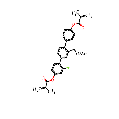 C=C(C)C(=O)Oc1ccc(-c2ccc(-c3ccc(OC(=O)C(=C)C)cc3F)cc2COC)cc1